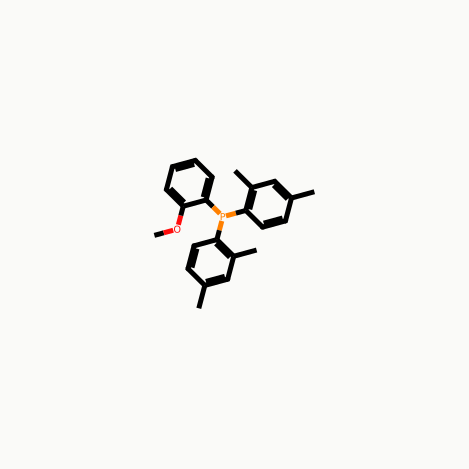 COc1ccccc1P(c1ccc(C)cc1C)c1ccc(C)cc1C